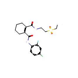 CCS(=O)(=O)CCNC(=O)C1=C(C(=O)Nc2ccc(Cl)cc2F)CCCC1